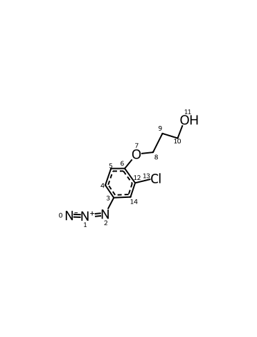 [N-]=[N+]=Nc1ccc(OCCCO)c(Cl)c1